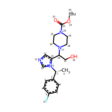 C[C@H](c1ccc(F)cc1)n1cncc1C(CO)N1CCN(C(=O)OC(C)(C)C)CC1